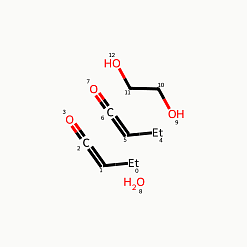 CCC=C=O.CCC=C=O.O.OCCO